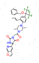 CC=Cc1cc(C(OCc2ccccc2)(C(F)(F)F)C(F)(F)F)ccc1N1CC(C)N(C(=O)CN2C(=O)N[C@](C)(c3cc4ccoc4cn3)C2=O)CC1C